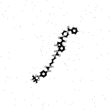 CC1(C)OB(c2ccc(NC(=O)NCCCCNC(=O)Nc3cccc4c(C(=O)C(=O)N5CCN(C(=O)c6ccccc6)CC5)c[nH]c34)cc2)OC1(C)C